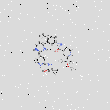 COC(C)(C)c1cc(C(=O)Nc2ccc(C)c(-c3ccnc(-c4ccnc(NC(=O)C5CC5)c4)n3)c2)ccn1